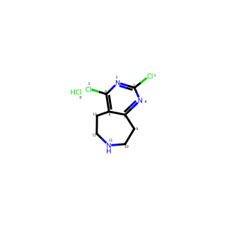 Cl.Clc1nc(Cl)c2c(n1)CCNCC2